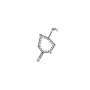 Nc1csc(=O)cn1